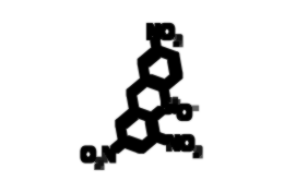 O=[N+]([O-])c1ccc2c(c1)Cc1cc([N+](=O)[O-])cc([N+](=O)[O-])c1[S+]2[O-]